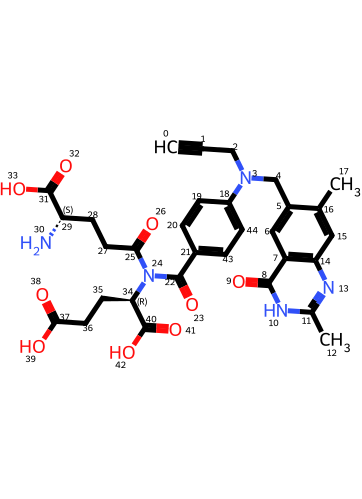 C#CCN(Cc1cc2c(=O)[nH]c(C)nc2cc1C)c1ccc(C(=O)N(C(=O)CC[C@H](N)C(=O)O)[C@H](CCC(=O)O)C(=O)O)cc1